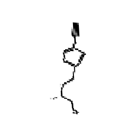 C#Cc1ccc(CO[C@@H](C)CO)cc1